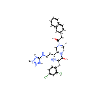 C[C@@H]1CN(C(=O)C(N)Cc2ccc(Cl)cc2Cl)[C@@H](CCCNc2nnn(C)n2)CN1C(=O)Cc1ccc2ccccc2c1